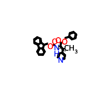 C[C@H](c1ccncc1)[C@H](NC(=O)OCC1c2ccccc2-c2ccccc21)C(=O)OCc1ccccc1